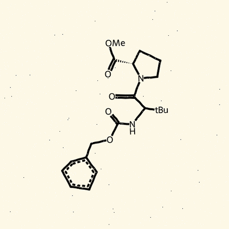 COC(=O)[C@@H]1CCCN1C(=O)C(NC(=O)OCc1ccccc1)C(C)(C)C